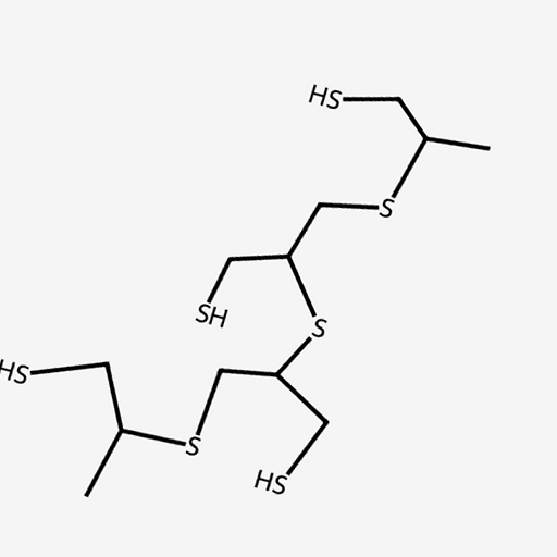 CC(CS)SCC(CS)SC(CS)CSC(C)CS